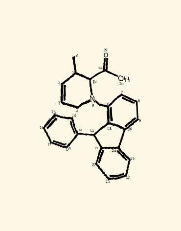 CC1C=CCN(c2cccc3c2C(c2ccccc2)c2ccccc2-3)C1C(=O)O